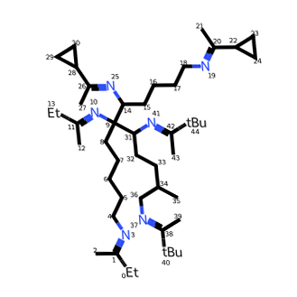 CCC(C)=NCCCCCC(N=C(C)CC)(C(CCCCN=C(C)C1CC1)N=C(C)C1CC1)C(CCC(C)CN=C(C)C(C)(C)C)N=C(C)C(C)(C)C